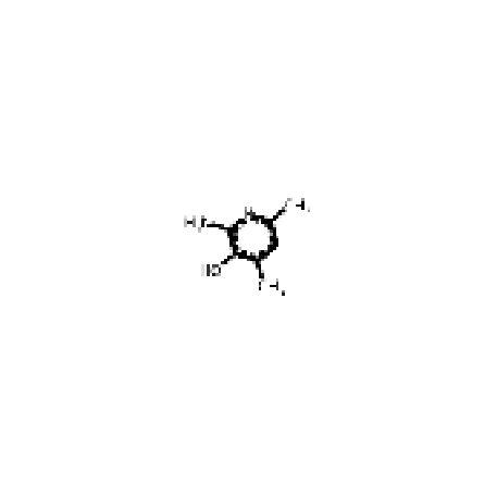 Cc1cc(C)c(O)c(N)n1